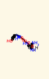 C[C@H](NCc1cn(CCOCCOCCOCCNC(=O)c2ccc(C(=O)O)c(-c3c4ccc(=N)cc-4oc4cc(N)ccc34)c2)nn1)[C@H]1CC[C@@]2(C)[C@]3(C)CC=C4CC(O)CC[C@]4(C)[C@@]3(C)CC[C@]12C